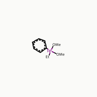 CC[PH](OC)(OC)c1ccccc1